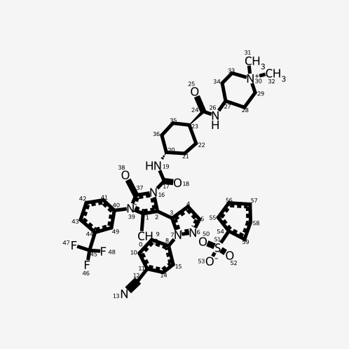 Cc1c(-c2ccnn2-c2ccc(C#N)cc2)n(C(=O)N[C@H]2CC[C@H](C(=O)NC3CC[N+](C)(C)CC3)CC2)c(=O)n1-c1cccc(C(F)(F)F)c1.O=S(=O)([O-])c1ccccc1